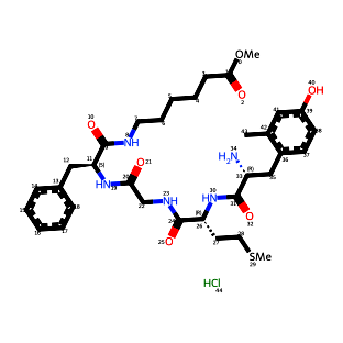 COC(=O)CCCCCNC(=O)[C@H](Cc1ccccc1)NC(=O)CNC(=O)[C@@H](CCSC)NC(=O)[C@H](N)Cc1ccc(O)cc1C.Cl